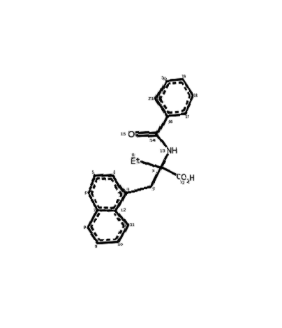 CCC(Cc1cccc2ccccc12)(NC(=O)c1ccccc1)C(=O)O